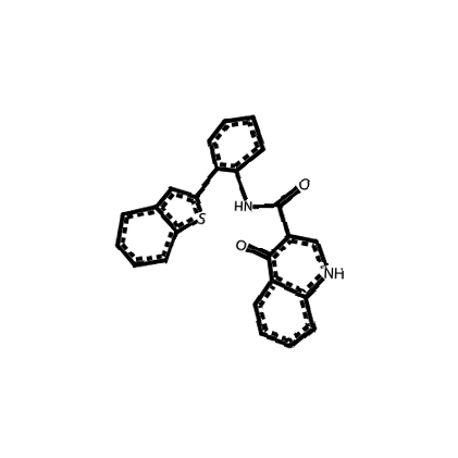 O=C(Nc1ccccc1-c1cc2ccccc2s1)c1c[nH]c2ccccc2c1=O